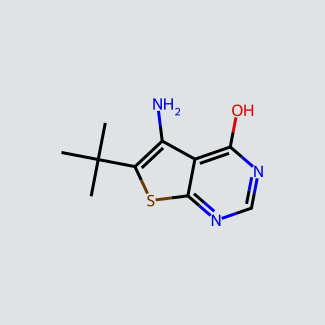 CC(C)(C)c1sc2ncnc(O)c2c1N